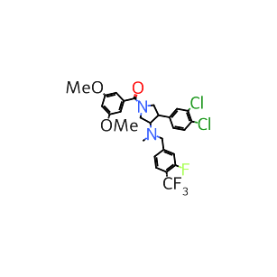 COc1cc(OC)cc(C(=O)N2CC(c3ccc(Cl)c(Cl)c3)C(N(C)Cc3ccc(C(F)(F)F)c(F)c3)C2)c1